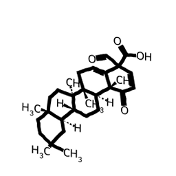 CC1(C)CC[C@]2(C)CC[C@]3(C)[C@H](CC[C@@H]4[C@@]5(C)C(=O)C=CC(C=O)(C(=O)O)C5=CC[C@]43C)[C@H]2C1